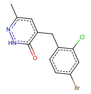 Cc1cc(Cc2ccc(Br)cc2Cl)c(=O)[nH]n1